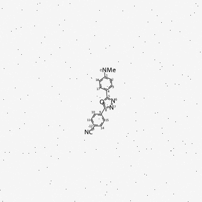 CNc1ccc(-c2nnc(-c3ccc(C#N)cc3)o2)cc1